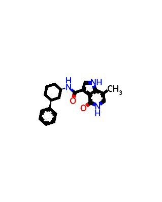 Cc1c[nH]c(=O)c2c(C(=O)N[C@H]3CCC[C@H](c4ccccc4)C3)c[nH]c12